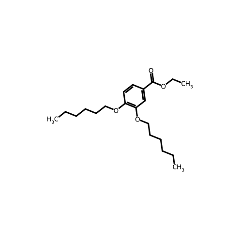 CCCCCCOc1ccc(C(=O)OCC)cc1OCCCCCC